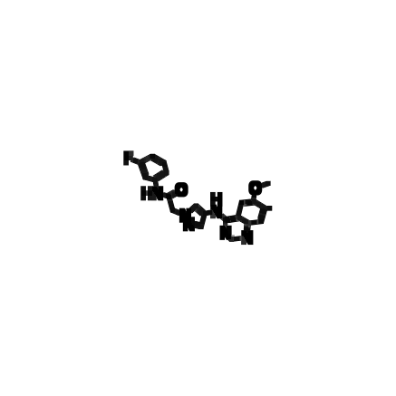 COc1[c]cc2ncnc(Nc3cnn(CC(=O)Nc4cccc(F)c4)c3)c2c1